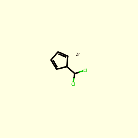 Cl[C](Cl)C1C=CC=C1.[Zr]